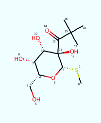 CS[C@@H]1O[C@H](CO)[C@H](O)[C@H](O)[C@]1(O)C(=O)C(C)(C)C